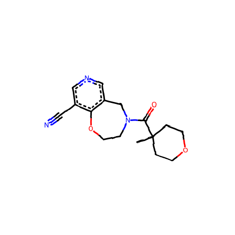 CC1(C(=O)N2CCOc3c(C#N)cncc3C2)CCOCC1